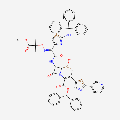 CC(C)(C)OC(=O)C(C)(C)ON=C(C(=O)NC1C(=O)N2C(C(=O)OC(c3ccccc3)c3ccccc3)=C(c3cnc(-c4cccnc4)s3)C[S+]([O-])C12)c1csc(NC(c2ccccc2)(c2ccccc2)c2ccccc2)n1